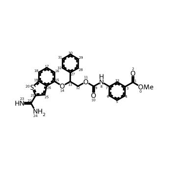 COC(=O)c1cccc(NC(=O)OCC(Oc2cccc3sc(C(=N)N)cc23)c2ccccc2)c1